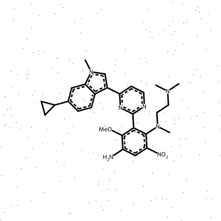 COc1c(N)cc([N+](=O)[O-])c(N(C)CCN(C)C)c1-c1nccc(-c2cn(C)c3cc(C4CC4)ccc23)n1